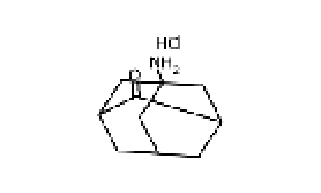 Cl.NC12CC3CC(C1)C(=O)C(C3)C2